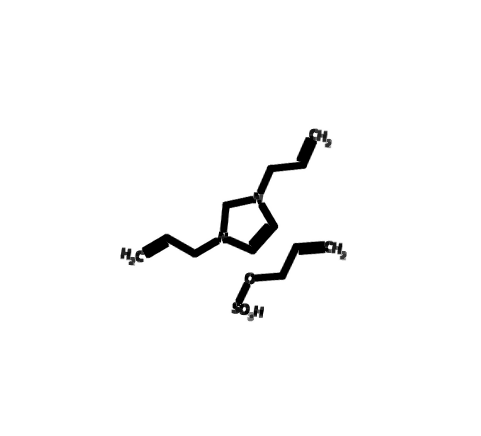 C=CCN1C=CN(CC=C)C1.C=CCOS(=O)(=O)O